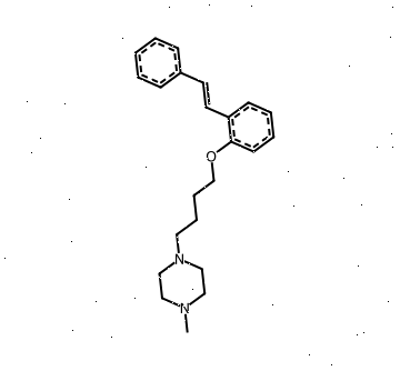 CN1CCN(CCCCOc2ccccc2C=Cc2ccccc2)CC1